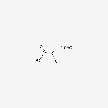 CC(=O)C(=O)C(Cl)CC=O